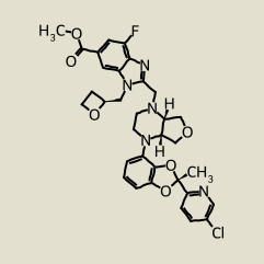 COC(=O)c1cc(F)c2nc(CN3CCN(c4cccc5c4O[C@](C)(c4ccc(Cl)cn4)O5)[C@H]4COC[C@H]43)n(C[C@@H]3CCO3)c2c1